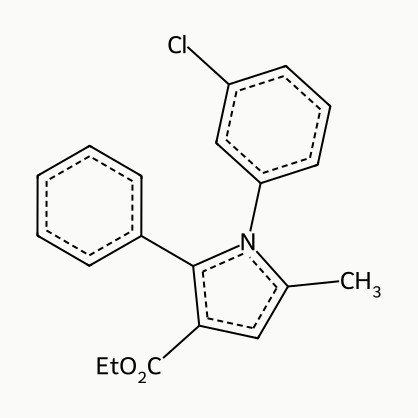 CCOC(=O)c1cc(C)n(-c2cccc(Cl)c2)c1-c1ccccc1